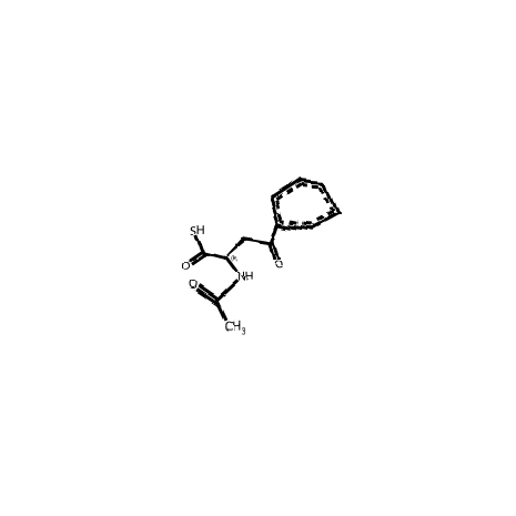 CC(=O)N[C@H](CC(=O)c1ccccc1)C(=O)S